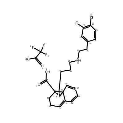 O=C(O)C(F)(F)F.O=C(O)N1C2CCC=C3C=CN=CC32CN1CCCNCCc1ccc(Cl)c(Cl)c1